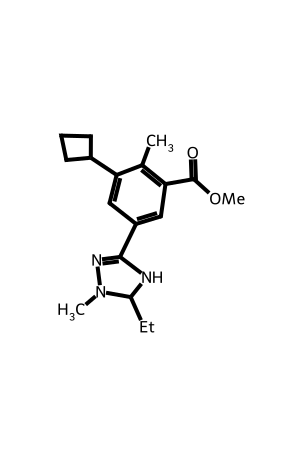 CCC1NC(c2cc(C(=O)OC)c(C)c(C3CCC3)c2)=NN1C